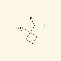 CCC(F)C1(C(=O)O)CCC1